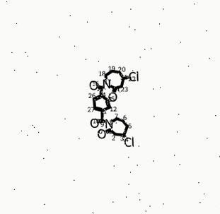 O=C1CC(Cl)CCCN1C(=O)c1ccc(C(=O)N2CCCC(Cl)CC2=O)cc1